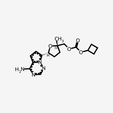 C[C@@]1(COC(=O)OC2CCC2)CC[C@H](c2ccc3c(N)ncnn23)O1